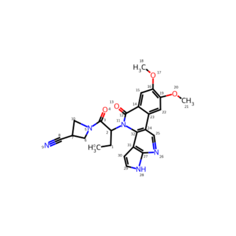 CCC(C(=O)N1CC(C#N)C1)n1c(=O)c2cc(OC)c(OC)cc2c2cnc3[nH]ccc3c21